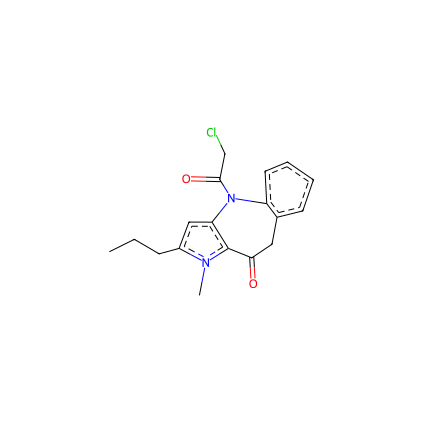 CCCc1cc2c(n1C)C(=O)Cc1ccccc1N2C(=O)CCl